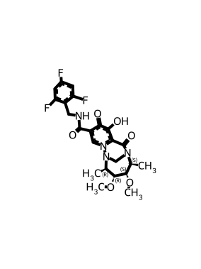 CO[C@@H]1[C@H](OC)[C@@H](C)N2CN(C(=O)c3c(O)c(=O)c(C(=O)NCc4c(F)cc(F)cc4F)cn32)[C@H]1C